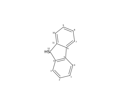 [c]1cccc2c1-c1ccccc1[SiH]2